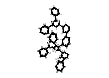 c1ccc(-c2cc(-c3cccc(-c4cccc(-c5c(-c6cccc7c6sc6ccccc67)sc6c(-c7ccccc7)nc7ccccc7c56)c4)c3)nc(-c3ccccc3)n2)cc1